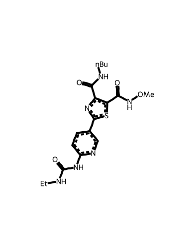 CCCCNC(=O)c1nc(-c2ccc(NC(=O)NCC)nc2)sc1C(=O)NOC